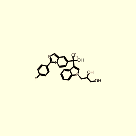 OCC(O)Cn1cc(C(O)(c2ccn3c(-c4ccc(F)cc4)ncc3c2)C(F)(F)F)c2ccccc21